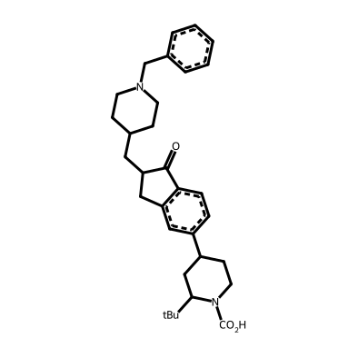 CC(C)(C)C1CC(c2ccc3c(c2)CC(CC2CCN(Cc4ccccc4)CC2)C3=O)CCN1C(=O)O